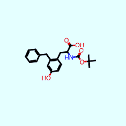 CC(C)(C)OC(=O)NC(Cc1ccc(O)cc1Cc1ccccc1)C(=O)O